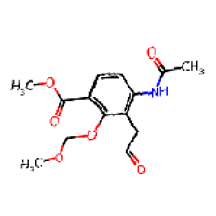 COCOc1c(C(=O)OC)ccc(NC(C)=O)c1CC=O